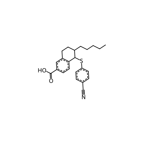 CCCCCC1CCc2cc(C(=O)O)ccc2C1Sc1ccc(C#N)cc1